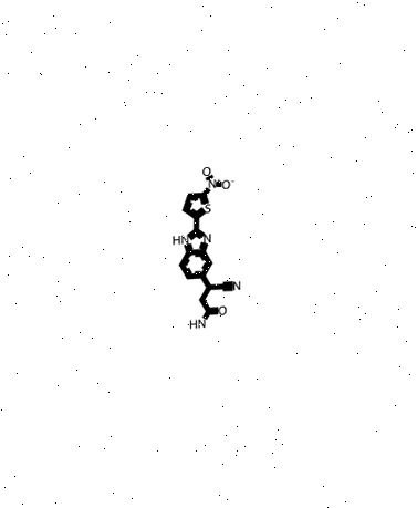 N#CC(CC([NH])=O)c1ccc2[nH]c(-c3ccc([N+](=O)[O-])s3)nc2c1